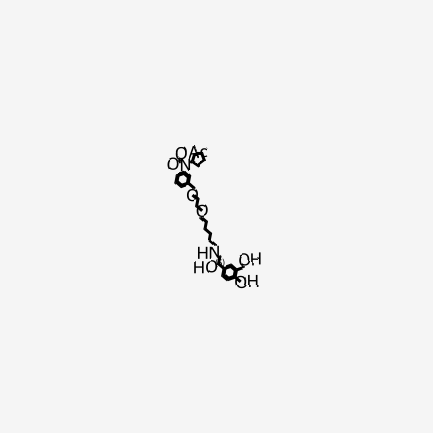 CC(=O)OC(=O)N(c1cccc(COCCOCCCCCCNC[C@@H](O)c2ccc(O)c(CO)c2)c1)C1CCCC1